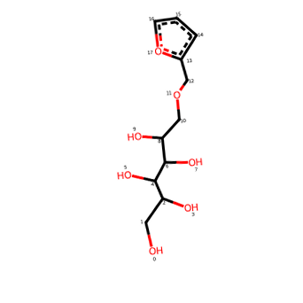 OCC(O)C(O)C(O)C(O)COCc1ccco1